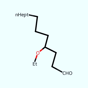 CCCCCCCCCCC(CCC=O)OCC